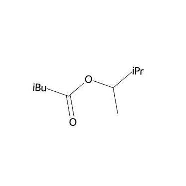 CCC(C)C(=O)OC(C)C(C)C